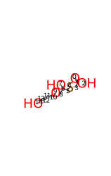 O=C(O)CSCC(O)COCCCCO